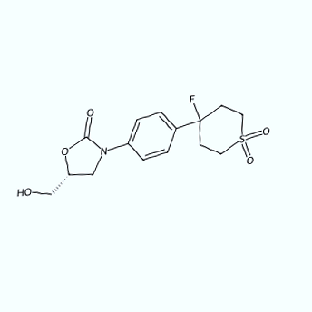 O=C1O[C@@H](CO)CN1c1ccc(C2(F)CCS(=O)(=O)CC2)cc1